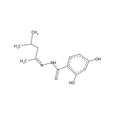 CC(CC(C)C)=NNC(=O)c1ccc(O)cc1O